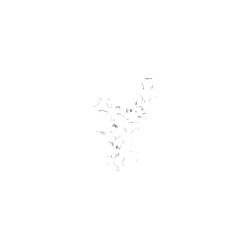 CCCCc1c(-c2ccc(C(=O)NS(=O)(=O)c3ccc4ccccc4c3)cc2C(=O)N2Cc3ccccc3C[C@H]2CO)c(CO)nn1-c1ccccc1